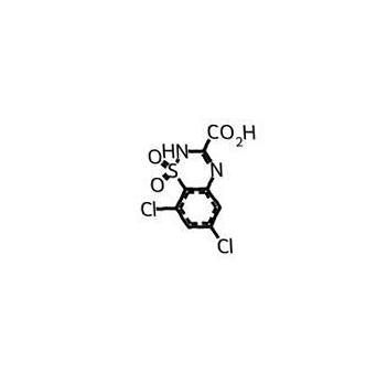 O=C(O)C1=Nc2cc(Cl)cc(Cl)c2S(=O)(=O)N1